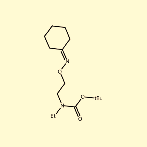 CCN(CCON=C1CCCCC1)C(=O)OC(C)(C)C